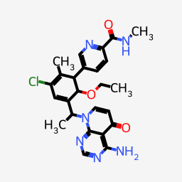 CCOC1C(C(C)n2ccc(=O)c3c(N)ncnc32)=CC(Cl)=C(C)C1c1ccc(C(=O)NC)nc1